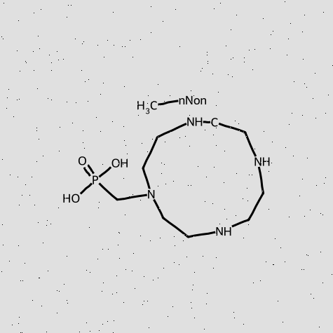 CCCCCCCCCC.O=P(O)(O)CN1CCNCCNCCNCC1